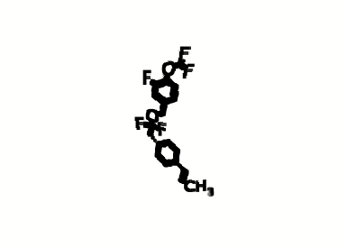 CC=C[C@H]1CC[C@H](CC(F)(F)OCc2ccc(OC(F)F)c(F)c2)CC1